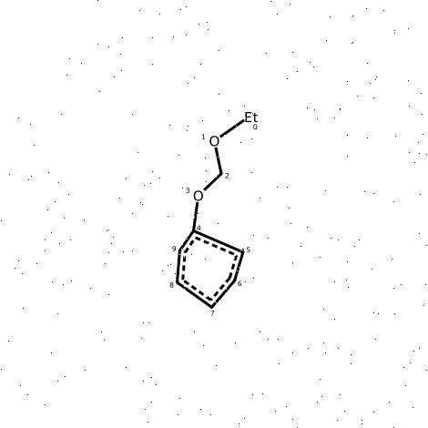 CCOCOc1[c]cccc1